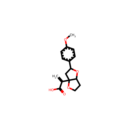 C=C(C(=O)O)C12CC(c3ccc(OC)cc3)OC1CCO2